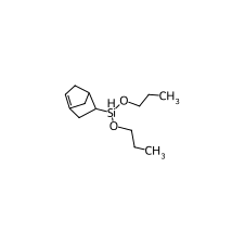 CCCO[SiH](OCCC)C1CC2=CCC1C2